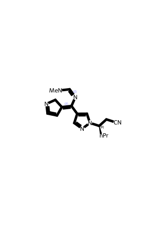 CCC[C@H](CC#N)n1cc(C(/N=C\NC)=C2\C=C=NC2)cn1